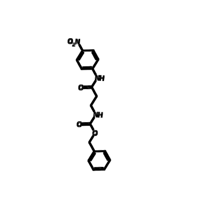 O=C(CCNC(=O)OCc1ccccc1)Nc1ccc([N+](=O)[O-])cc1